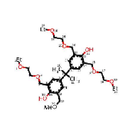 CCOCCOCc1cc(C(C)(C)c2cc(COCCOCC)c(O)c(COCCOCC)c2)cc(COC)c1O